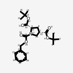 CC(C)(C)OC(=O)[C@H]1C[C@@H](C(=O)OC(C)(C)C)N(C(=O)OCc2ccccc2)C1